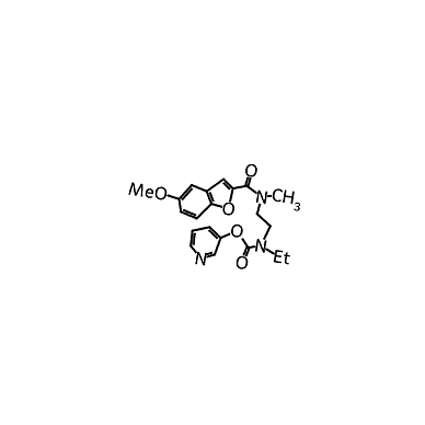 CCN(CCN(C)C(=O)c1cc2cc(OC)ccc2o1)C(=O)Oc1cccnc1